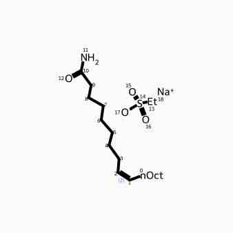 CCCCCCCC/C=C\CCCCCCCC(N)=O.CCS(=O)(=O)[O-].[Na+]